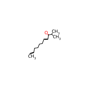 CC=CCCCCC=CC(=O)C(C)C